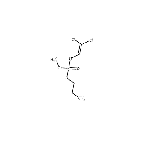 CCCOP(=O)(OC)OC=C(Cl)Cl